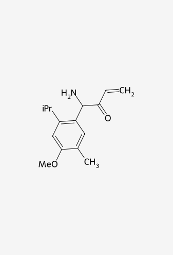 C=CC(=O)C(N)c1cc(C)c(OC)cc1C(C)C